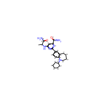 CC(Nc1cc(C(N)=O)nc(-c2ccc3c(c2)CCCCN3C2CCCCC2)n1)C(N)=O